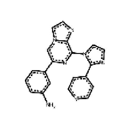 Nc1cccc(-c2cn3ccnc3c(-n3ccnc3-c3ccncc3)n2)c1